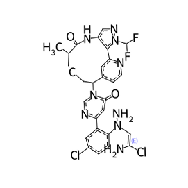 CC1CCCC(n2cnc(-c3cc(Cl)ccc3N(N)/C=C(\N)Cl)cc2=O)c2ccnc(c2)-c2c(cnn2C(F)F)NC1=O